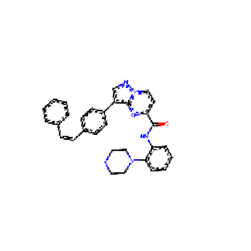 O=C(Nc1ccccc1N1CCNCC1)c1ccn2ncc(-c3ccc(/C=C\c4ccccc4)cc3)c2n1